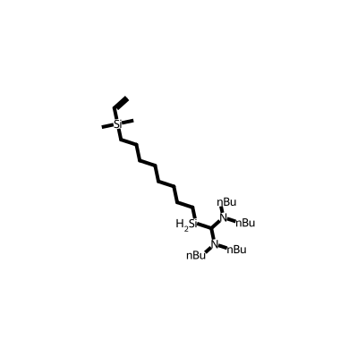 C=C[Si](C)(C)CCCCCCCC[SiH2]C(N(CCCC)CCCC)N(CCCC)CCCC